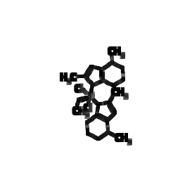 C[CH]=[Ti]([Cl])([Cl])([CH]1C(C)=CC2=C1CCCC2C)[CH]1C(C)=CC2=C1CCCC2C